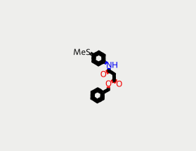 CSc1ccc(NC(=O)CC(=O)OCc2ccccc2)cc1